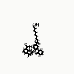 CC(C)c1cccc(C(C)C)c1NC(=O)N(Cc1ccccc1)c1ccc(C(C)(C)CCCCCCCCO)cc1